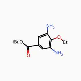 CCOc1c(N)cc(C(=O)OCC(C)C)cc1N